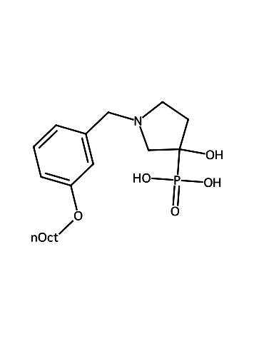 CCCCCCCCOc1cccc(CN2CCC(O)(P(=O)(O)O)C2)c1